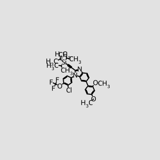 COc1ccc(-c2ccc3nc(C#C[Si](C(C)C)(C(C)C)C(C)C)n(-c4ccc(OC(F)(F)F)c(Cl)c4)c3c2)c(OC)c1